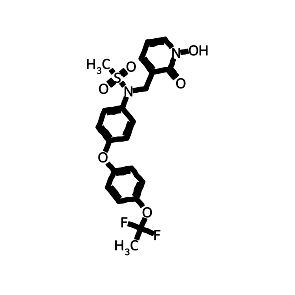 CC(F)(F)Oc1ccc(Oc2ccc(N(Cc3cccn(O)c3=O)S(C)(=O)=O)cc2)cc1